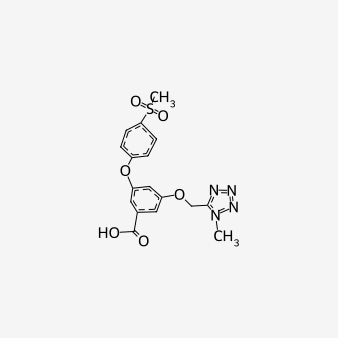 Cn1nnnc1COc1cc(Oc2ccc(S(C)(=O)=O)cc2)cc(C(=O)O)c1